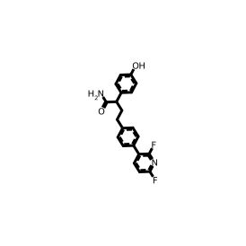 NC(=O)C(CCc1ccc(-c2ccc(F)nc2F)cc1)c1ccc(O)cc1